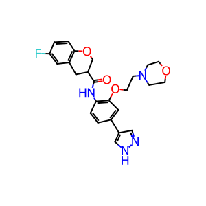 O=C(Nc1ccc(-c2cn[nH]c2)cc1OCCN1CCOCC1)C1COc2ccc(F)cc2C1